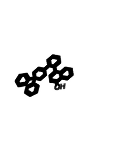 Oc1ccc(-c2ccccc2C2=CCC(c3ccccc3)(c3ccccc3)CC2)c2ccccc12